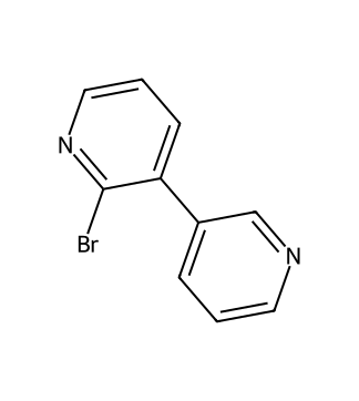 Brc1ncccc1-c1cccnc1